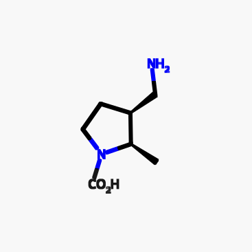 C[C@@H]1[C@H](CN)CCN1C(=O)O